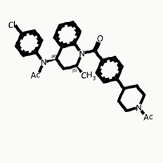 CC(=O)N1CCC(c2ccc(C(=O)N3c4ccccc4[C@H](N(C(C)=O)c4ccc(Cl)cc4)C[C@@H]3C)cc2)CC1